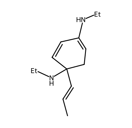 CC=CC1(NCC)C=CC(NCC)=CC1